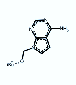 CC[C@@H](C)OCn1ccc2c(N)ncnc21